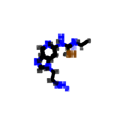 CC/N=C(\S)Nc1cc2c(cn1)ncn2CCN